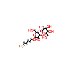 OCC1O[C@@H](O[C@@H]2C(CO)O[C@@H](OCCCCCS)[C@@H](O)C2O)[C@@H](O)C(O)[C@H]1O